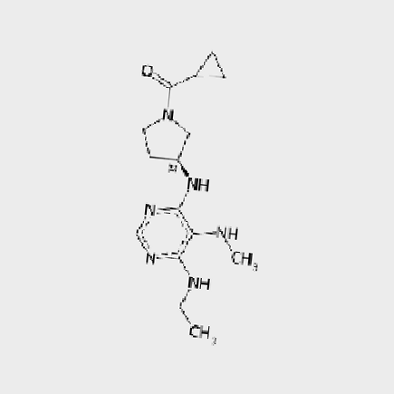 CCNc1ncnc(N[C@H]2CCN(C(=O)C3CC3)C2)c1NC